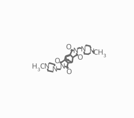 CN1CCN(CN2C(=O)C3=C4C=CC(C3C2=O)C2C(=O)N(CN3CCN(C)CC3)C(=O)C42)CC1